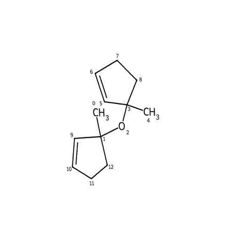 CC1(OC2(C)C=CCC2)C=CCC1